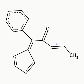 C/C=C/C(=O)C(=C1C=CC=C1)c1ccccc1